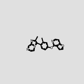 Cc1cc(Oc2nccc3occc23)ccc1-c1c(C)nc2cnccn12